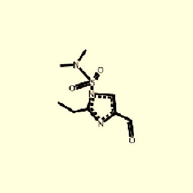 CCc1nc(C=O)cn1S(=O)(=O)N(C)C